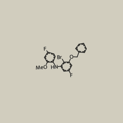 COc1cc(F)ccc1Nc1cc(F)cc(OCc2ccccc2)c1Br